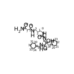 C[C@@H](CCNC(=O)CC(N)=O)CC(=O)NC[C@](O)(Cc1ccccc1)C(=O)NCc1ccccc1